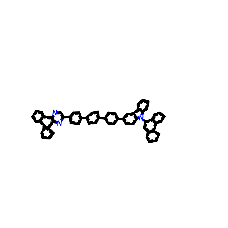 c1ccc2c(c1)cc(-n1c3ccccc3c3cc(-c4ccc(-c5ccc(-c6ccc(-c7cnc8c9ccccc9c9ccccc9c8n7)cc6)cc5)cc4)ccc31)c1ccccc12